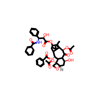 CC(=O)O[C@H]1C(=O)C2C([C@H](OC(=O)c3ccccc3)C3CC(OC(=O)[C@H](O)[C@@H](NC(=O)c4ccccc4)c4ccccc4)C(C)=C1C3(C)C)[C@]1(OC(C)=O)CO[C@@H]1C[C@@H]2O